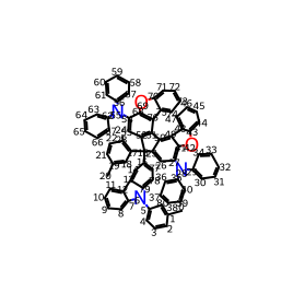 Cc1cccc(-n2c3ccccc3c3cc(C4(c5cc(C)ccc5C)c5cc(N(c6ccccc6)c6ccccc6)c6oc7ccccc7c6c5-c5c4cc(N(c4ccccc4)c4ccccc4)c4oc6ccccc6c54)ccc32)c1